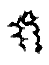 C=CC=CC=Cc1ccccc1.C=COC(=O)CC(=O)O